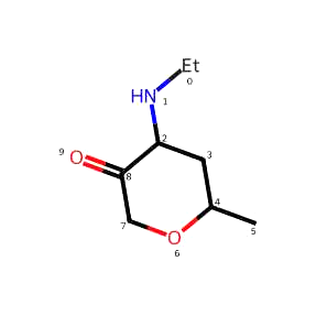 CCNC1CC(C)OCC1=O